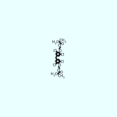 C=C(C)C(=O)OCCOc1c(Cl)cc(Cc2cc(Cl)c(OCCOC(=O)C(=C)C)c(Cl)c2)cc1Cl